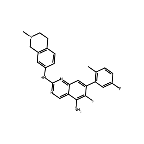 Cc1ccc(F)cc1-c1cc2nc(Nc3ccc4c(c3)CN(C)CC4)ncc2c(N)c1F